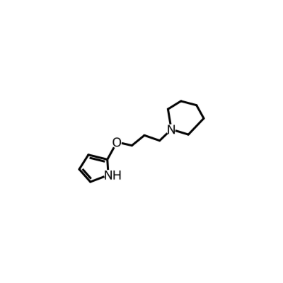 c1c[nH]c(OCCCN2CCCCC2)c1